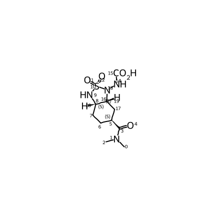 CN(C)C(=O)[C@H]1CC[C@@H]2NS(=O)(=O)N(NC(=O)O)[C@@H]2C1